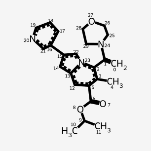 C=C(c1c(C)c(C(=O)OC(C)C)cc2cc(-c3cccnc3)cn12)N1CCOCC1